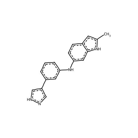 Cc1cc2ccc(Nc3cccc(-c4cn[nH]c4)c3)cc2[nH]1